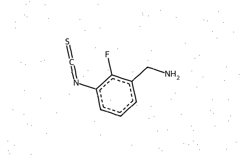 NCc1cccc(N=C=S)c1F